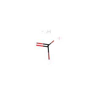 O=C(O)Br.[BaH2]